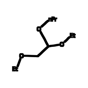 [CH2]COCC(OCC)OCCC